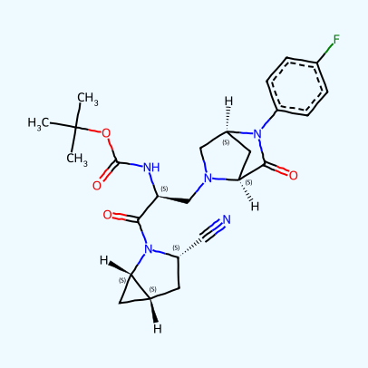 CC(C)(C)OC(=O)N[C@@H](CN1C[C@@H]2C[C@H]1C(=O)N2c1ccc(F)cc1)C(=O)N1[C@H](C#N)C[C@@H]2C[C@@H]21